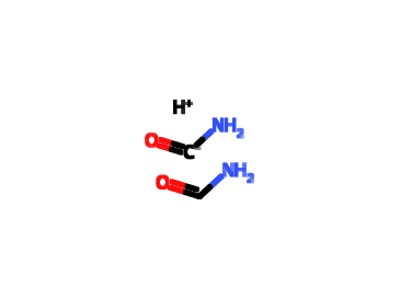 NC=O.N[C-]=O.[H+]